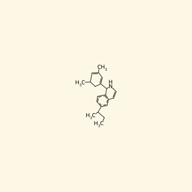 CCC(C)c1ccc2c(c1)C=CNC2C1=CC(C)=CC(C)C1